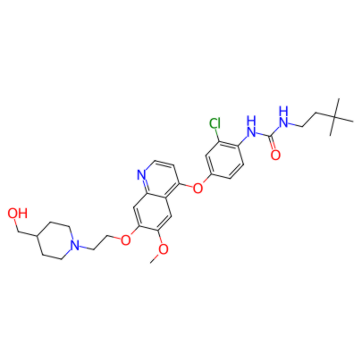 COc1cc2c(Oc3ccc(NC(=O)NCCC(C)(C)C)c(Cl)c3)ccnc2cc1OCCN1CCC(CO)CC1